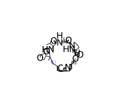 CC(C)C1NC(=O)C(C)(C2CCOC2)/C=C/c2ccc3ccc(nc3c2)[C@@H](C)OC(=O)[C@@H]2CCCN(N2)C(=O)[C@H](C)NC1=O